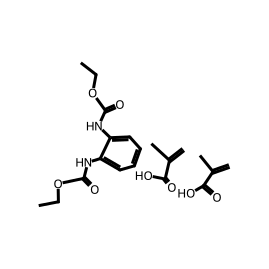 C=C(C)C(=O)O.C=C(C)C(=O)O.CCOC(=O)Nc1ccccc1NC(=O)OCC